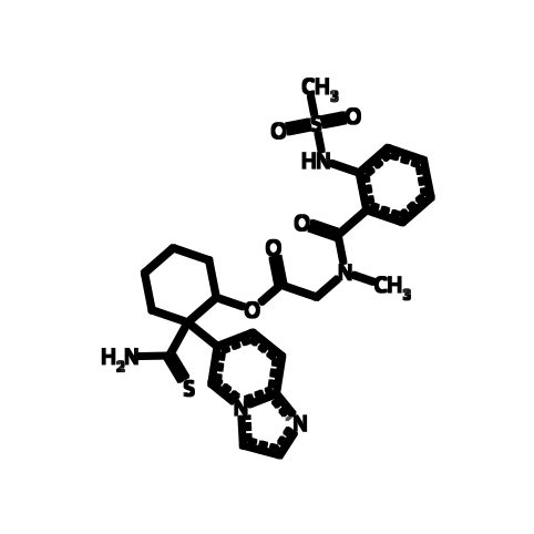 CN(CC(=O)OC1CCCCC1(C(N)=S)c1ccc2nccn2c1)C(=O)c1ccccc1NS(C)(=O)=O